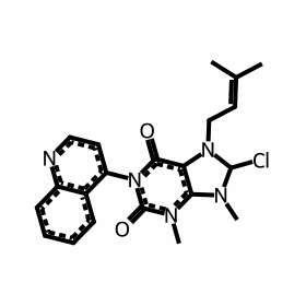 CC(C)=CCN1c2c(n(C)c(=O)n(-c3ccnc4ccccc34)c2=O)N(C)C1Cl